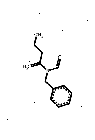 C=C(CCC)N(C=O)Cc1ccccc1